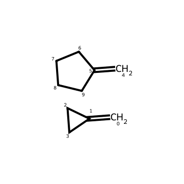 C=C1CC1.C=C1CCCC1